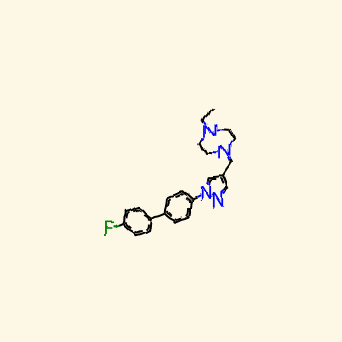 CCN1CCN(Cc2cnn(-c3ccc(-c4ccc(F)cc4)cc3)c2)CC1